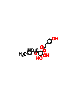 Cc1ccc(CO[C@@]2(C(=O)O)C[C@H](O)[C@@H](O)[C@H](OC(=O)C=Cc3ccc(O)cc3)C2)cc1